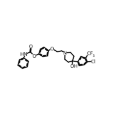 O=C(Nc1ccccc1)Oc1ccc(OCCN2CCC(O)(c3ccc(Cl)c(C(F)(F)F)c3)CC2)cc1